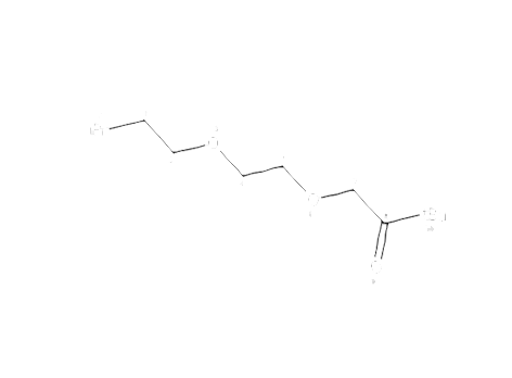 CC(C)CCOCCOCC(=O)C(C)(C)C